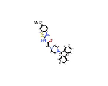 COc1ccc2nc(NC(=O)CN3CCN(C4c5ccccc5-c5ccccc54)CC3)sc2c1